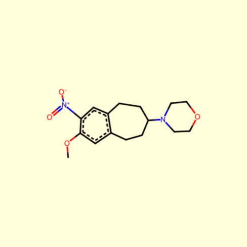 COc1cc2c(cc1[N+](=O)[O-])CCC(N1CCOCC1)CC2